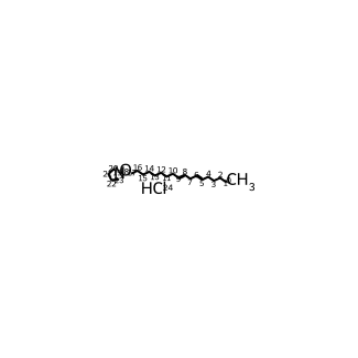 CCCCCC=CCC=CCCCCCCCCON1CCCC1.Cl